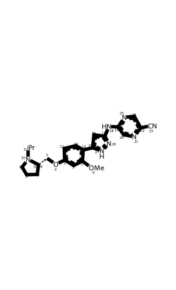 COc1cc(OC[C@@H]2CCCN2C(C)C)ccc1-c1cc(Nc2cnc(C#N)cn2)n[nH]1